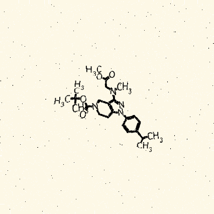 COC(=O)CN(C)c1nn(-c2ccc(C(C)C)cc2)c2c1CN(C(=O)OC(C)(C)C)CC2